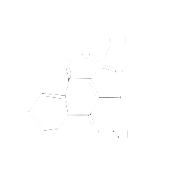 CC1=C(S(=O)(=O)O)C(=O)c2ccccc2C1=O.N